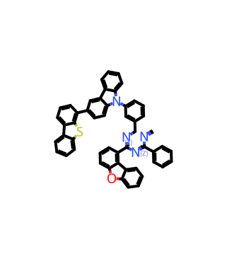 C=N/C(=N\C(=N/Cc1cccc(-n2c3ccccc3c3cc(-c4cccc5c4sc4ccccc45)ccc32)c1)c1cccc2oc3ccccc3c12)c1ccccc1